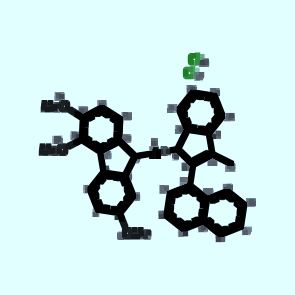 COc1ccc2c(c1)[CH]([Zr+2][CH]1C(c3cccc4ccccc34)=C(C)c3ccccc31)c1ccc(OC)c(OC)c1-2.[Cl-].[Cl-]